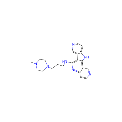 CN1CCN(CCCNc2nc3ccncc3c3[nH]c4ccncc4c23)CC1